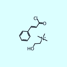 C[N+](C)(C)CCO.O=C(Cl)/C=C/c1ccccc1